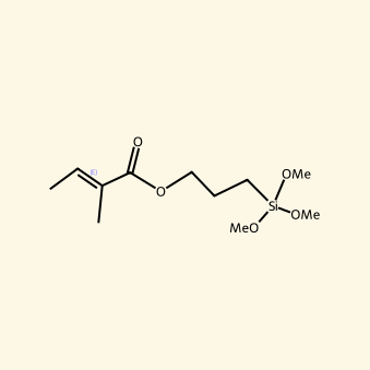 C/C=C(\C)C(=O)OCCC[Si](OC)(OC)OC